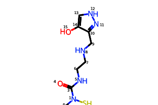 CN(S)C(=O)NCCNCc1n[nH]cc1O